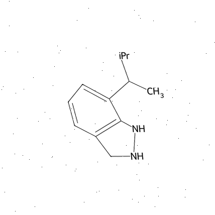 CC(C)C(C)c1cccc2c1NNC2